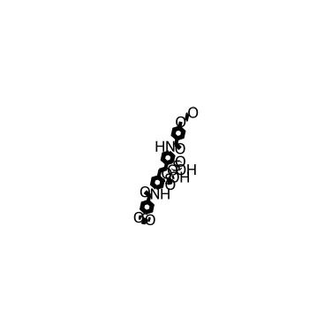 COCCOc1ccc(C(=O)Nc2ccc(C=Cc3ccc(NC(=O)c4ccc(S(C)(=O)=O)cc4)cc3S(=O)(=O)O)c(S(=O)(=O)O)c2)cc1